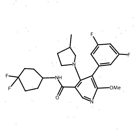 COc1ncc(C(=O)NC2CCC(F)(F)CC2)c(N2CC[C](C)C2)c1-c1cc(F)cc(F)c1